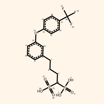 O=P(O)(O)C(CCCc1cccc(Oc2ccc(C(F)(F)F)cc2)c1)S(=O)(=O)O